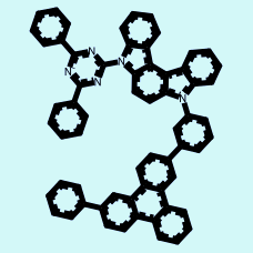 c1ccc(-c2ccc3c4ccccc4c4cc(-c5cccc(-n6c7ccccc7c7c8c9ccccc9n(-c9nc(-c%10ccccc%10)nc(-c%10ccccc%10)n9)c8ccc76)c5)ccc4c3c2)cc1